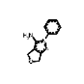 Nc1c2c(nn1-c1ccccc1)COC2